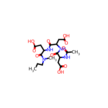 CCCN(C)C(=O)C(CC(=O)O)NC(=O)C(CC(=O)O)NC(=O)C(CC(=O)O)NC(C)=O